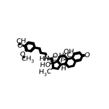 COc1ccc(CCCNC(=O)[C@@]2(O)[C@H](C)CC3[C@@H]4CCC5=CC(=O)C=C[C@]5(C)[C@@]4(F)[C@@H](O)C[C@@]32C)cc1OC